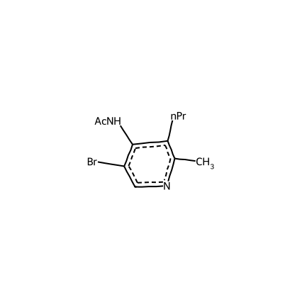 CCCc1c(C)ncc(Br)c1NC(C)=O